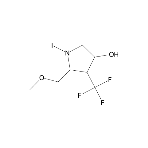 COCC1C(C(F)(F)F)C(O)CN1I